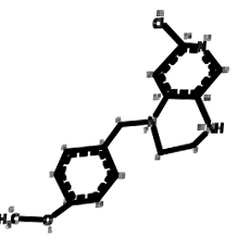 COc1ccc(CN2CCNc3cnc(Cl)cc32)cc1